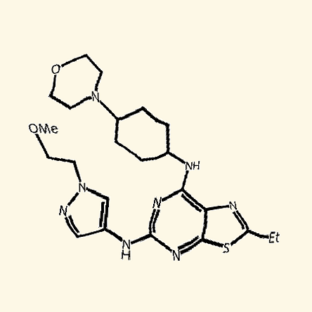 CCc1nc2c(NC3CCC(N4CCOCC4)CC3)nc(Nc3cnn(CCOC)c3)nc2s1